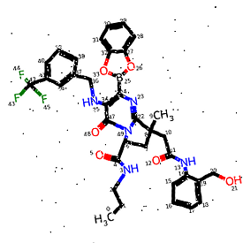 CCCNC(=O)C1CC(C)(CC(=O)Nc2ccccc2CO)c2nc(B3Oc4ccccc4O3)c(NCc3cccc(C(F)(F)F)c3)c(=O)n21